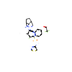 Cc1c(N(C)[C@@H]2[C@@H]3CC[C@H]2CN(Cc2ccccc2)C3)cnc(S(=O)(=O)Nc2cscn2)c1F.O=C(O)C(F)(F)F